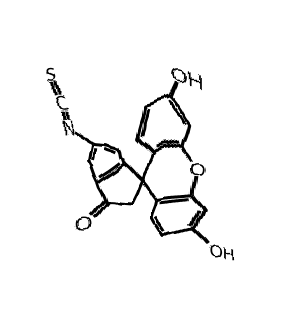 O=C1CC2(c3ccc(O)cc3Oc3cc(O)ccc32)c2ccc(N=C=S)cc21